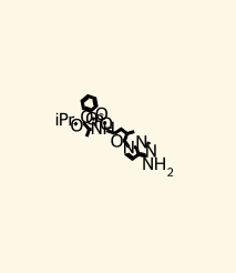 CC(C)OC(=O)C(C)NP(=O)(OCC1CC(C)C(n2ccc3c(N)ncnc32)O1)Oc1ccccc1